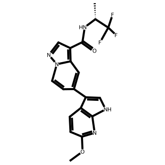 COc1ccc2c(-c3ccn4ncc(C(=O)N[C@H](C)C(F)(F)F)c4c3)c[nH]c2n1